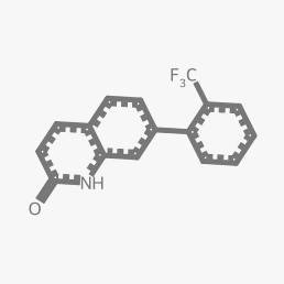 O=c1ccc2ccc(-c3ccccc3C(F)(F)F)cc2[nH]1